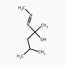 C/N=N/C(C)(O)CC(C)C